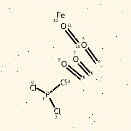 ClP(Cl)Cl.[C]=O.[C]=O.[C]=O.[C]=O.[Fe]